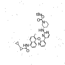 Cc1ccc2c(NC(=O)[C@H]3CC3C3CC3)cccc2c1Oc1ncccc1-c1ccnc(N[C@H]2CCCN(C(=O)OC(C)(C)C)C2)n1